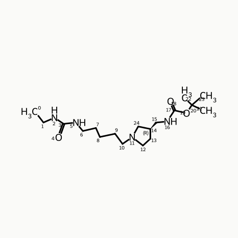 CCNC(=O)NCCCCCN1CC[C@H](CNC(=O)OC(C)(C)C)C1